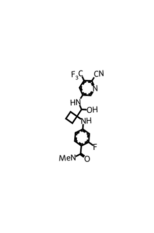 CNC(=O)c1ccc(NC2(C(O)Nc3cnc(C#N)c(C(F)(F)F)c3)CCC2)cc1F